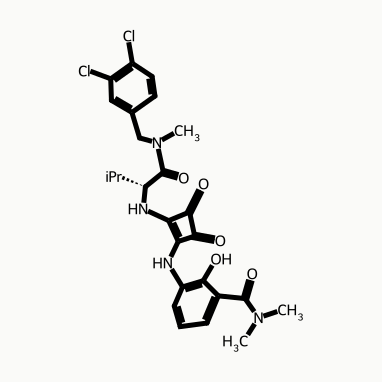 CC(C)[C@@H](Nc1c(Nc2cccc(C(=O)N(C)C)c2O)c(=O)c1=O)C(=O)N(C)Cc1ccc(Cl)c(Cl)c1